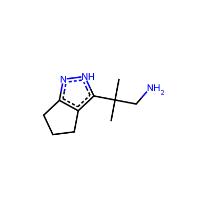 CC(C)(CN)c1[nH]nc2c1CCC2